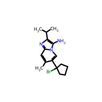 Cc1cc2nc(C(C)C)c(N)n2cc1C1(Br)CCCC1